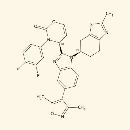 Cc1nc2c(s1)C[C@H](n1c([C@@H]3C=COC(=O)N3c3ccc(F)c(F)c3)nc3cc(-c4c(C)noc4C)ccc31)CC2